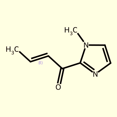 C/C=C/C(=O)c1nccn1C